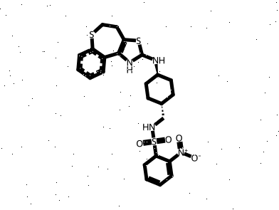 O=[N+]([O-])C1=CC=CCC1S(=O)(=O)NC[C@H]1CC[C@H](NC2NC3=C(CCSc4ccccc43)S2)CC1